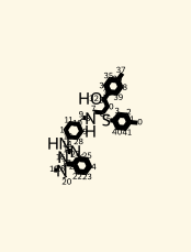 Cc1ccc(SC(CNC[C@H]2CC[C@@H](Nc3nc(N(C)C)c4ccccc4n3)CC2)CC(O)c2ccc(C)cc2)cc1